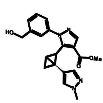 COC(=O)c1cnn(-c2cccc(CO)c2)c1C1C2C[C@@]21c1cnn(C)c1